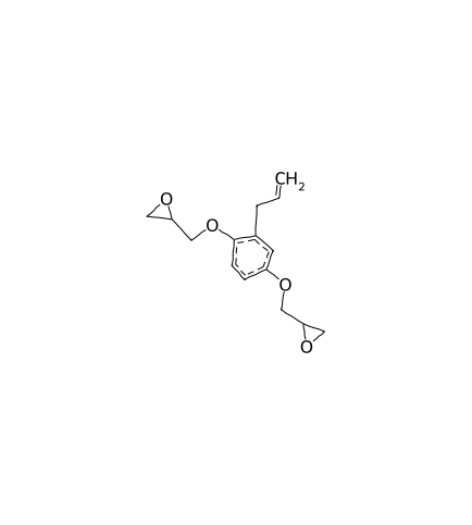 C=CCc1cc(OCC2CO2)ccc1OCC1CO1